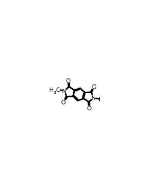 Cn1c(=O)c2cc3c(=O)n(I)c(=O)c3cc2c1=O